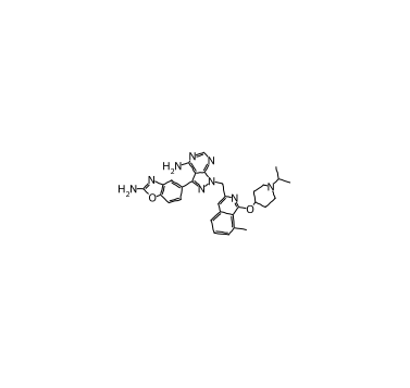 Cc1cccc2cc(Cn3nc(-c4ccc5oc(N)nc5c4)c4c(N)ncnc43)nc(OC3CCN(C(C)C)CC3)c12